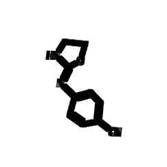 N#Cc1ccc(N=C2NCCO2)cc1